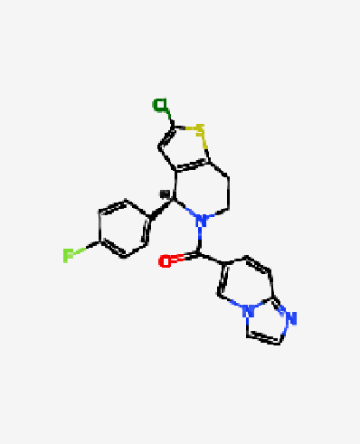 O=C(c1ccc2nccn2c1)N1CCc2sc(Cl)cc2[C@@H]1c1ccc(F)cc1